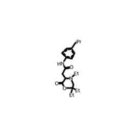 CCN1CC(CC)(CC)OC(=O)C1CC(=O)Nc1ccc(C(C)C)cc1